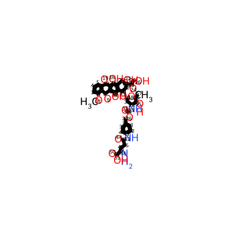 COc1cccc2c1C(=O)c1c(O)c3c(c(O)c1C2=O)C[C@@](O)(C(=O)CO)C[C@@H]3OC1CC(NC(=O)OCc2ccc(NC(=O)CCC(N)C(=O)O)cc2)C(O)C(C)O1